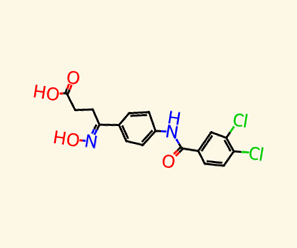 O=C(O)CCC(=NO)c1ccc(NC(=O)c2ccc(Cl)c(Cl)c2)cc1